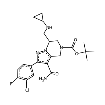 CC(C)(C)OC(=O)N1Cc2c(C(N)=O)c(-c3ccc(F)c(Cl)c3)nn2C(CNC2CC2)C1